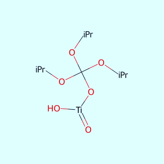 CC(C)OC(OC(C)C)(OC(C)C)[O][Ti](=[O])[OH]